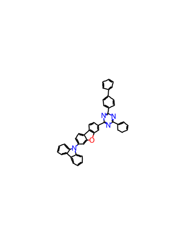 C1=CCCC(c2nc(-c3ccc(-c4ccccc4)cc3)nc(-c3ccc4c(c3)oc3cc(-n5c6ccccc6c6ccccc65)ccc34)n2)=C1